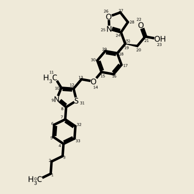 CCCCc1ccc(-c2nc(C)c(COc3ccc([C@H](CC(=O)O)C4=NOCC4)cc3)s2)cc1